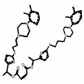 Cc1cccc(N2CCN(CCCSc3ccc(C(C)OC(=O)/C=C\C(=O)OC(C)c4ccc(SCCCN5CCN(c6cccc(C)c6C)CC5)s4)s3)CC2)c1C